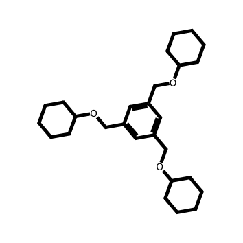 c1c(COC2CCCCC2)cc(COC2CCCCC2)cc1COC1CCCCC1